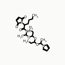 CCCCC(C(=O)NC(C)OC(CC)OC(CC)OC(C)n1cccc1)N1C(=O)C=CC1=O